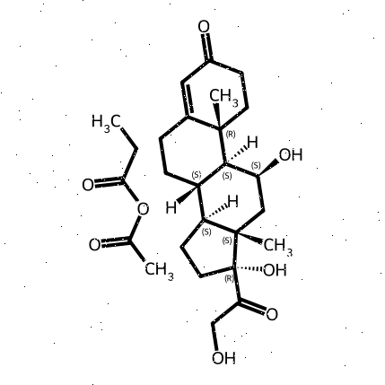 CCC(=O)OC(C)=O.C[C@]12CCC(=O)C=C1CC[C@@H]1[C@@H]2[C@@H](O)C[C@@]2(C)[C@H]1CC[C@]2(O)C(=O)CO